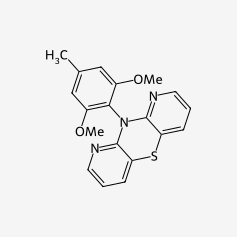 COc1cc(C)cc(OC)c1N1c2ncccc2Sc2cccnc21